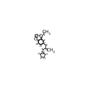 CCOc1cc(CC(C)CN2CCCC2)ccc1OC